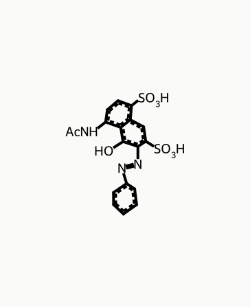 CC(=O)Nc1ccc(S(=O)(=O)O)c2cc(S(=O)(=O)O)c(N=Nc3ccccc3)c(O)c12